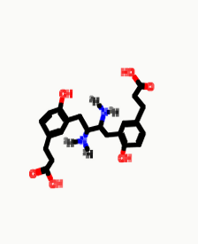 [2H]N([2H])C(Cc1cc(CCC(=O)O)ccc1O)C(Cc1cc(CCC(=O)O)ccc1O)N([2H])[2H]